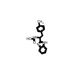 Cc1ccc(CC(NC(=O)O)c2nc3ccccc3[nH]2)cc1